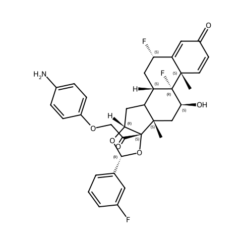 C[C@]12C=CC(=O)C=C1[C@@H](F)C[C@H]1C3C[C@H]4O[C@@H](c5cccc(F)c5)O[C@@]4(C(=O)COc4ccc(N)cc4)[C@@]3(C)C[C@H](O)[C@@]12F